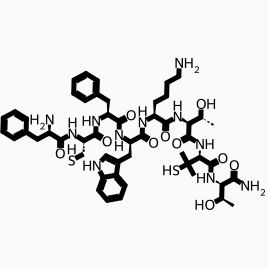 C[C@@H](O)[C@H](NC(=O)[C@@H](NC(=O)[C@@H](NC(=O)[C@H](CCCCN)NC(=O)[C@@H](Cc1c[nH]c2ccccc12)NC(=O)[C@H](Cc1ccccc1)NC(=O)[C@H](CS)NC(=O)[C@H](N)Cc1ccccc1)[C@@H](C)O)C(C)(C)S)C(N)=O